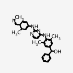 C/N=C\C1C=CC(Nc2nccc(Nc3c(C)cc(C(O)c4ccccc4)cc3C)n2)=CC1C